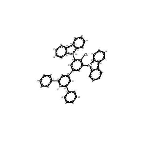 N#Cc1c(-n2c3ccccc3c3ccccc32)cc(-c2cc(-c3ccccc3)nc(-c3ccccc3)c2)cc1-n1c2ccccc2c2ccccc21